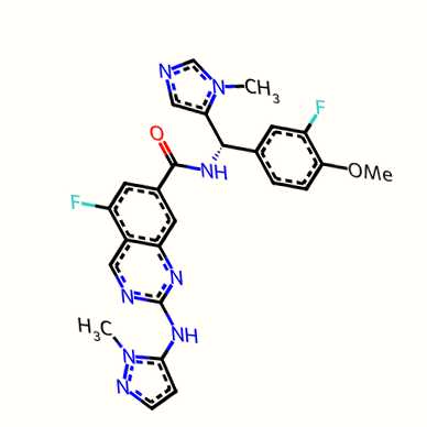 COc1ccc([C@H](NC(=O)c2cc(F)c3cnc(Nc4ccnn4C)nc3c2)c2cncn2C)cc1F